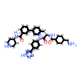 NCC1CCC(C(=O)N[C@@H](Cc2ccc(-c3cccc(C(=O)NC4CCNCC4)c3)cc2)C(=O)Nc2ccc(-c3nn[nH]n3)cc2)CC1